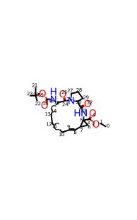 CCOC(=O)C12CC1/C=C/CCCCCC(NC(=O)OC(C)(C)C)C(=O)N1CCCC1C(=O)N2